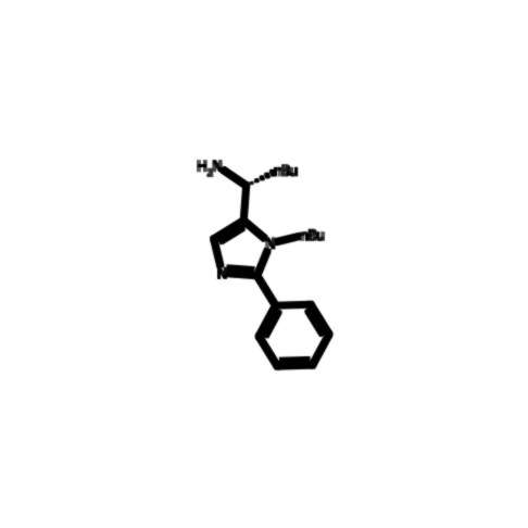 CCCC[C@@H](N)c1cnc(-c2ccccc2)n1CCCC